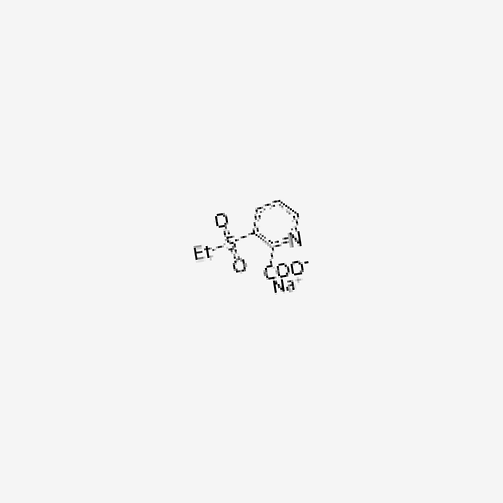 CCS(=O)(=O)c1cccnc1C(=O)[O-].[Na+]